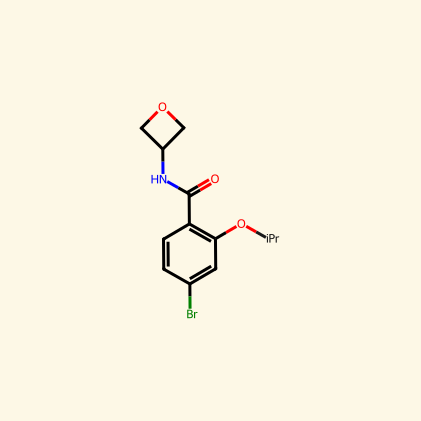 CC(C)Oc1cc(Br)ccc1C(=O)NC1COC1